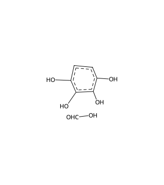 O=CO.Oc1ccc(O)c(O)c1O